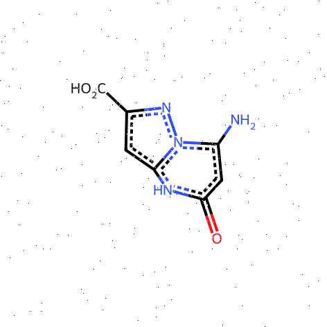 Nc1cc(=O)[nH]c2cc(C(=O)O)nn12